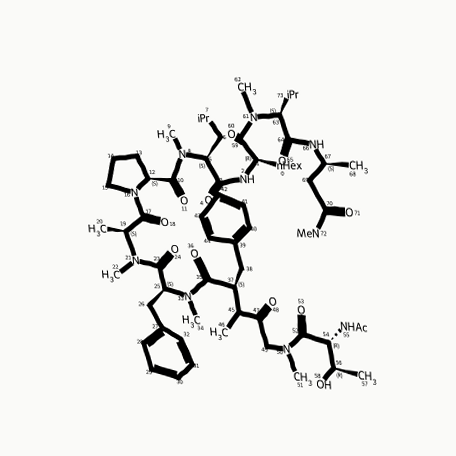 CCCCCC[C@@H](NC(=O)[C@H](CC(C)C)N(C)C(=O)[C@@H]1CCCN1C(=O)[C@H](C)N(C)C(=O)[C@H](Cc1ccccc1)N(C)C(=O)[C@@H](Cc1ccccc1)C(C)C(=O)CN(C)C(=O)[C@H](NC(C)=O)[C@@H](C)O)C(=O)N(C)[C@H](C(=O)N[C@@H](C)CC(=O)NC)C(C)C